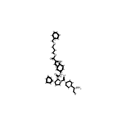 N[C@H](CF)[C@H]1CC[C@H](C(=O)N2CC[C@H](c3ccccc3)[C@H]2C(=O)Nc2ccc3[nH]c(C(=O)OCCCOCc4ccccc4)cc3c2)CC1